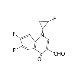 O=Cc1cn(C2CC2F)c2cc(F)c(F)cc2c1=O